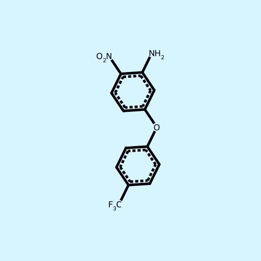 Nc1cc(Oc2ccc(C(F)(F)F)cc2)ccc1[N+](=O)[O-]